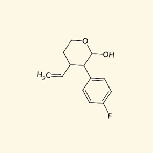 C=CC1CCOC(O)C1c1ccc(F)cc1